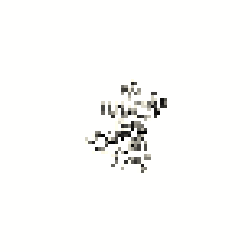 NC(=O)[C@H](CCC(F)(F)F)[C@H](CCC(F)(F)F)C(=O)N[C@H]1N=C(c2ccccc2)c2cccc(C3CC3)c2NC1=O